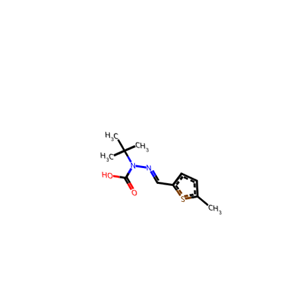 Cc1ccc(C=NN(C(=O)O)C(C)(C)C)s1